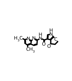 Cc1cc(C)c2ccc(NC(=O)c3c[nH]c4c3C(=O)CCC4)nc2n1